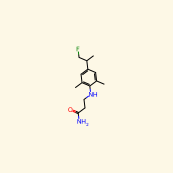 Cc1cc(C(C)CF)cc(C)c1NCCC(N)=O